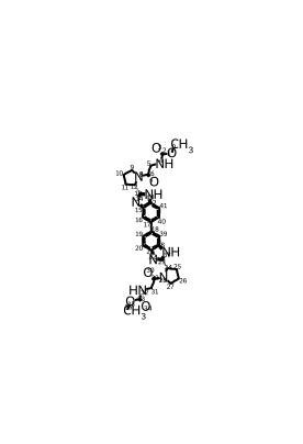 COC(=O)NCC(=O)N1CCC[C@H]1c1nc2cc(-c3ccc4nc([C@@H]5CCCN5C(=O)CNC(=O)OC)[nH]c4c3)ccc2[nH]1